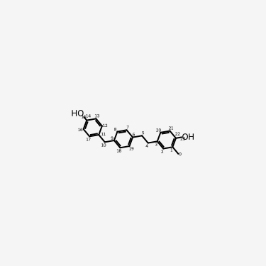 Cc1cc(CCc2ccc(Cc3ccc(O)cc3)cc2)ccc1O